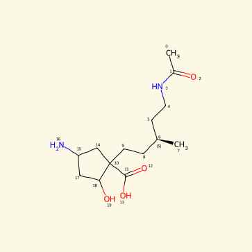 CC(=O)NCC[C@@H](C)CCC1(C(=O)O)CC(N)CC1O